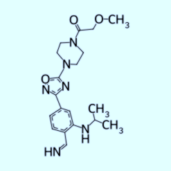 COCC(=O)N1CCN(c2nc(-c3ccc(C=N)c(NC(C)C)c3)no2)CC1